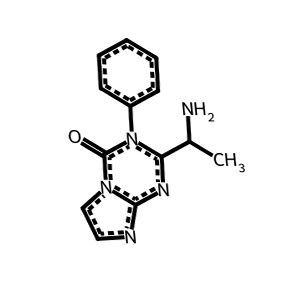 CC(N)c1nc2nccn2c(=O)n1-c1ccccc1